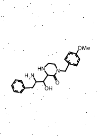 COc1ccc(CN2CCNC(C(O)C(N)Cc3ccccc3)C2=O)cc1